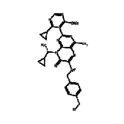 CCSc1ccc(CNc2nc3c(C)nc(-c4c(OC)ncnc4C4CC4)nc3n([C@@H](C)C3CC3)c2=O)cc1